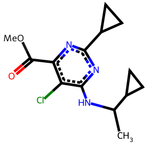 COC(=O)c1nc(C2CC2)nc(NC(C)C2CC2)c1Cl